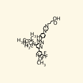 CCOc1ncc(-c2cc(N(C)CC(C)(C)COC)c3[nH]c(-c4ccc(N5CCN(CCCC(=O)O)CC5)cc4)nc3n2)cc1C(F)(F)F